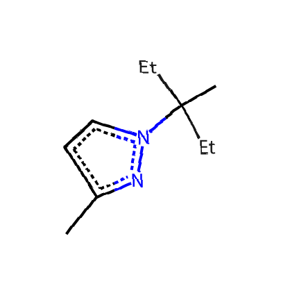 CCC(C)(CC)n1ccc(C)n1